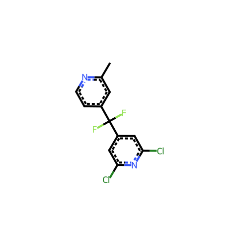 Cc1cc(C(F)(F)c2cc(Cl)nc(Cl)c2)ccn1